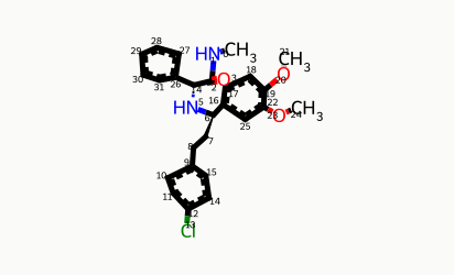 CNC(=O)[C@H](N[C@H](CCc1ccc(Cl)cc1)c1ccc(OC)c(OC)c1)c1ccccc1